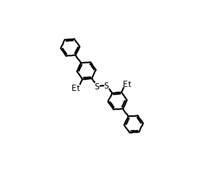 CCc1cc(-c2ccccc2)ccc1SSc1ccc(-c2ccccc2)cc1CC